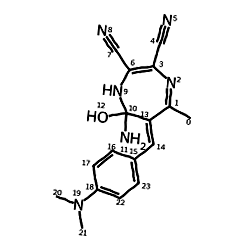 CC1=NC(C#N)=C(C#N)NC(N)(O)C1=Cc1ccc(N(C)C)cc1